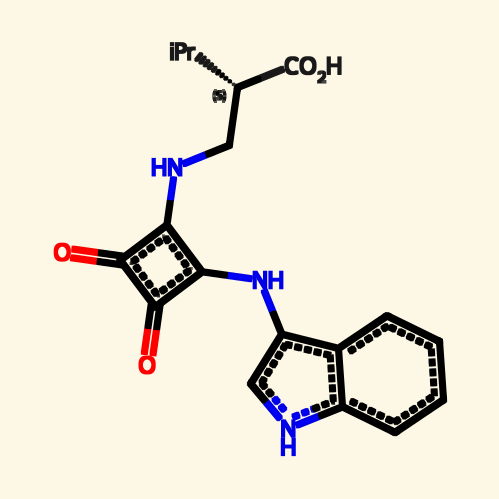 CC(C)[C@@H](CNc1c(Nc2c[nH]c3ccccc23)c(=O)c1=O)C(=O)O